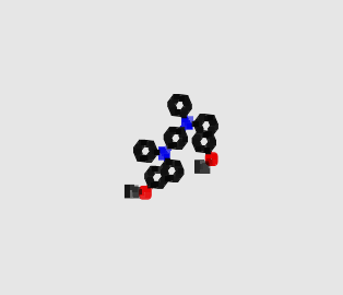 CCOc1ccc2c(N(c3ccccc3)c3ccc(N(c4ccccc4)c4cccc5cc(OCC)ccc45)cc3)cccc2c1